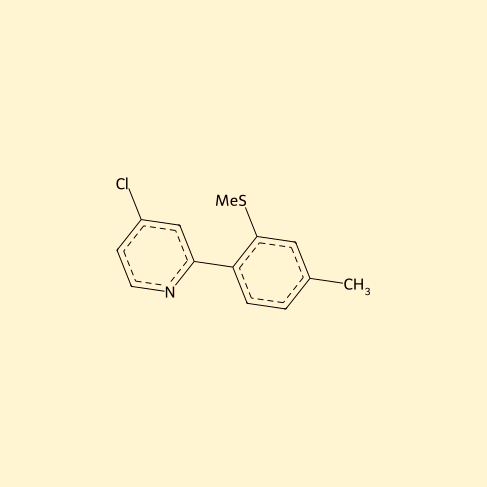 CSc1cc(C)ccc1-c1cc(Cl)ccn1